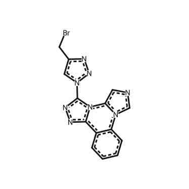 BrCc1cn(-c2nnc3c4ccccc4n4cncc4n23)nn1